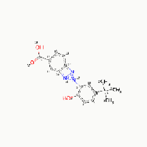 CC(C)(C)c1ccc(O)c(-n2n3c4ccc(C(=O)O)cc4n23)c1